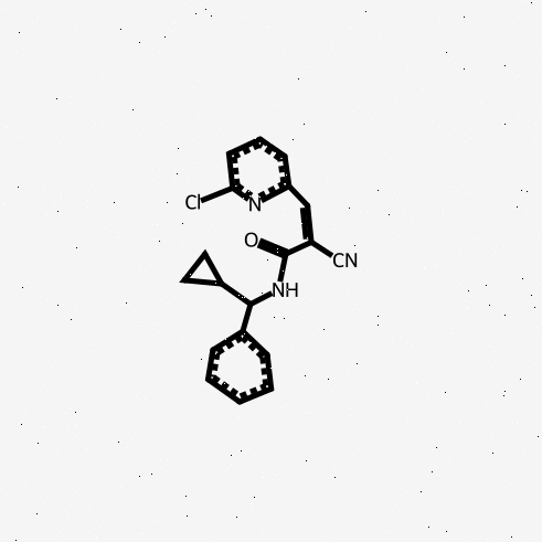 N#CC(=Cc1cccc(Cl)n1)C(=O)NC(c1ccccc1)C1CC1